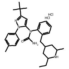 CCC1CC(Cc2ccccc2N(C(N)=O)c2cc(C(C)(C)C)nn2-c2ccc(C)cc2)CC(C)N1.Cl.Cl